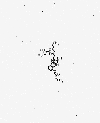 CCCCC[C@@H](CC[C@@H]1[C@H]2Cc3cccc(OCC(=O)OC)c3C[C@H]2C[C@H]1O)OC(=O)[C@@H](C)CC